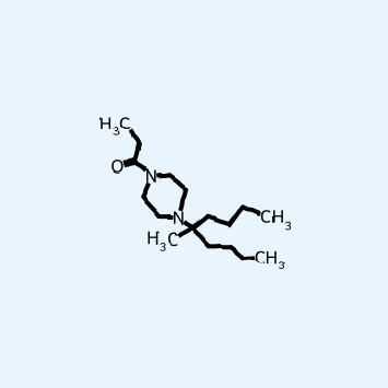 CCCCC(C)(CCCC)N1CCN(C(=O)CC)CC1